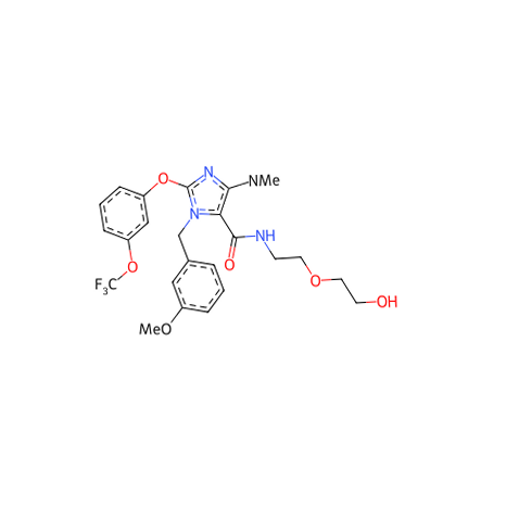 CNc1nc(Oc2cccc(OC(F)(F)F)c2)n(Cc2cccc(OC)c2)c1C(=O)NCCOCCO